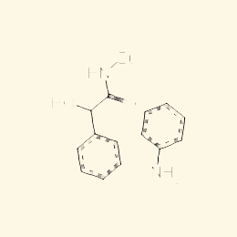 CCNC(=O)C(O)c1ccccc1.Nc1ccccc1